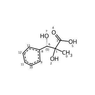 CC(O)(C(=O)O)[C@@H](O)c1ccccc1